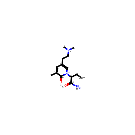 Cc1cc(CCN(C)C)cn(C(CC(C)C)C(N)=O)c1=O